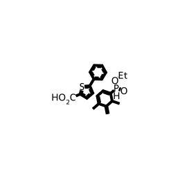 C=C1C(C)=CC=C([PH](=O)OCC)C1C.O=C(O)c1ccc(-c2ccccc2)s1